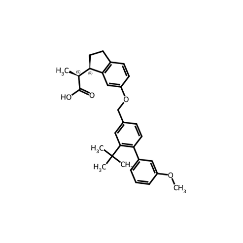 COc1cccc(-c2ccc(COc3ccc4c(c3)[C@@H]([C@H](C)C(=O)O)CC4)cc2C(C)(C)C)c1